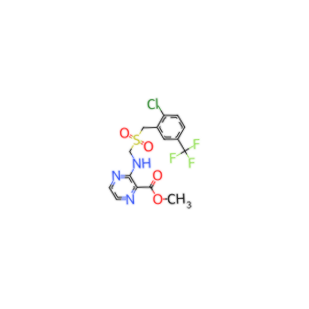 COC(=O)c1nccnc1NCS(=O)(=O)Cc1cc(C(F)(F)F)ccc1Cl